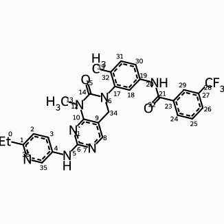 CCc1ccc(Nc2ncc3c(n2)N(C)C(=O)N(c2cc(NC(=O)c4cccc(C(F)(F)F)c4)ccc2C)C3)cn1